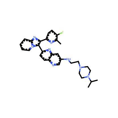 Cc1nc(-c2nc3ccccn3c2-c2ccc3ncc(NCCN4CCN(C(C)C)CC4)cc3n2)ccc1F